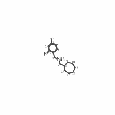 Cc1ccc(CNCC2CCCCCC2)c(F)c1